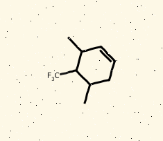 CC1C=CCC(C)C1C(F)(F)F